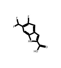 O=C(O)c1cc2cc(F)c(C(F)F)cc2[nH]1